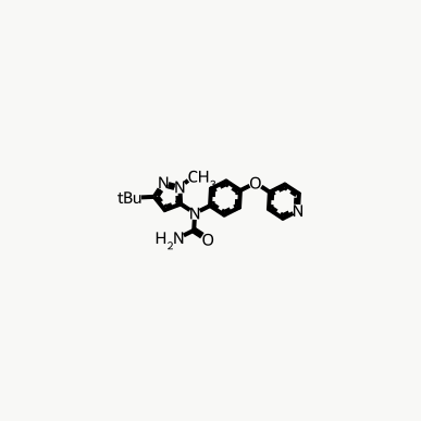 Cn1nc(C(C)(C)C)cc1N(C(N)=O)c1ccc(Oc2ccncc2)cc1